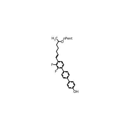 CCCCCOC(C)CCC/C=C/c1ccc(-c2ccc(-c3ccc(O)cc3)cc2)c(F)c1F